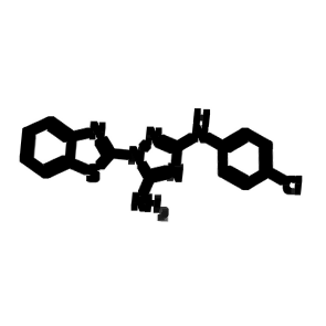 Nc1nc(Nc2ccc(Cl)cc2)nn1-c1nc2ccccc2s1